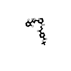 CC(C)(C)OC(=O)c1ccc(C(=O)CCNc2ccnc(-c3cc(-c4c(Cl)cccc4Cl)no3)c2)cc1